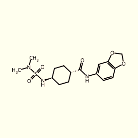 CN(C)S(=O)(=O)N[C@H]1CC[C@H](C(=O)Nc2ccc3c(c2)OCO3)CC1